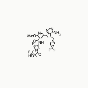 COc1ncc(-c2cc(CN3CC4C(C3)C4(F)F)c3c(N)ncnn23)cc1C(=O)N[C@@H]1CN(C(=O)C(C)(O)C(F)(F)F)C[C@@H]1F